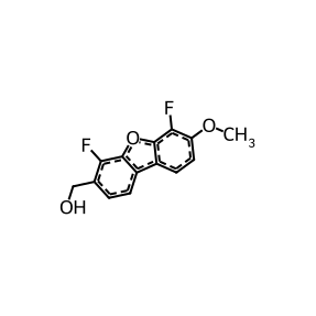 COc1ccc2c(oc3c(F)c(CO)ccc32)c1F